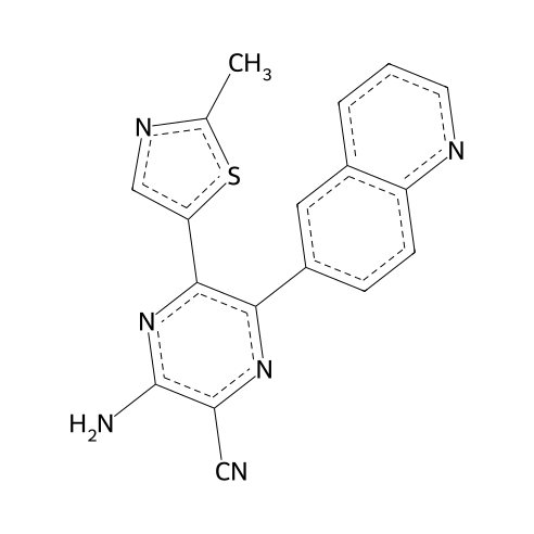 Cc1ncc(-c2nc(N)c(C#N)nc2-c2ccc3ncccc3c2)s1